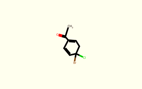 CC(=O)C1=CCC(Cl)(Br)C=C1